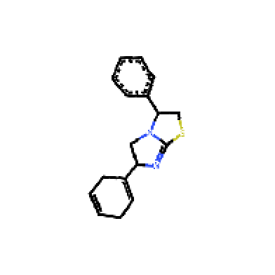 C1=CCC(C2CN3C(=N2)SCC3c2ccccc2)=CC1